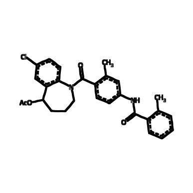 CC(=O)OC1CCCN(C(=O)c2ccc(NC(=O)c3ccccc3C)cc2C)c2ccc(Cl)cc21